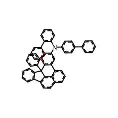 c1ccc(-c2ccc(N(c3ccc4c(c3)-c3cccc5ccc6c(c35)C4(c3ccccc3)c3ccccc3-6)c3ccccc3-c3ccccc3)cc2)cc1